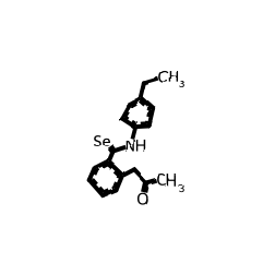 CCc1ccc(NC(=[Se])c2ccccc2CC(C)=O)cc1